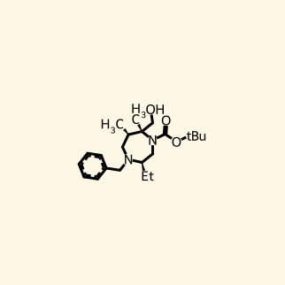 CC[C@@H]1CN(C(=O)OC(C)(C)C)[C@@](C)(CO)[C@H](C)CN1Cc1ccccc1